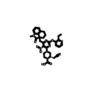 CCc1ncccc1Oc1nc(CC2(C(=O)OC)CCCc3ccccc32)c([N+](=O)[O-])c(N2CCN(C(=O)O)[C@@H](CC#N)C2)n1